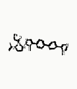 C=C(C)[C@H]1CC[C@@H](c2ncc(-c3ccc(-c4ccc(-c5cnc[nH]5)cc4)cc3)[nH]2)N1C(=O)CC(C)C